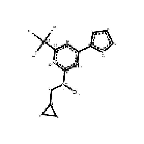 [O-][S+](CC1CC1)c1nc(-c2cccs2)cc(C(F)(F)F)n1